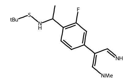 CN/C=C(\C=N)c1ccc(C(C)NSC(C)(C)C)c(F)c1